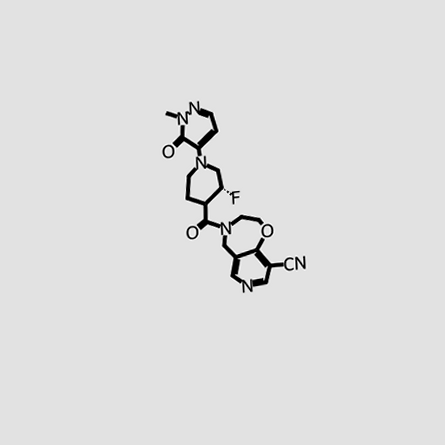 Cn1nccc(N2CCC(C(=O)N3CCOc4c(C#N)cncc4C3)[C@@H](F)C2)c1=O